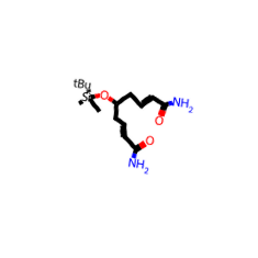 CC(C)(C)[Si](C)(C)OC(CC=CC(N)=O)CC=CC(N)=O